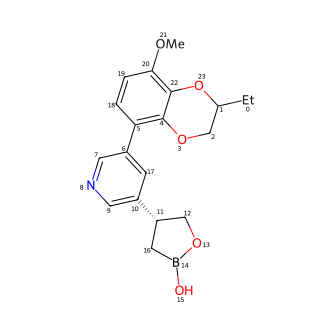 CCC1COc2c(-c3cncc([C@@H]4COB(O)C4)c3)ccc(OC)c2O1